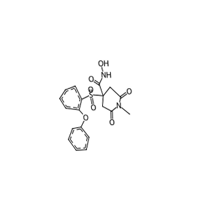 CN1C(=O)CC(C(=O)NO)(S(=O)(=O)c2ccccc2Oc2ccccc2)CC1=O